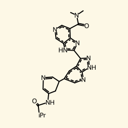 CC(C)C(=O)NC1=CN=CC(c2cnc3[nH]nc(-c4nc5c(C(=O)N(C)C)cncc5[nH]4)c3c2)C1